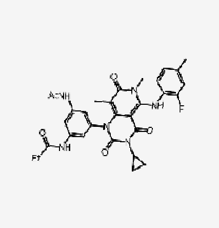 CCC(=O)Nc1cc(NC(C)=O)cc(-n2c(=O)n(C3CC3)c(=O)c3c(Nc4ccc(C)cc4F)n(C)c(=O)c(C)c32)c1